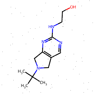 CC(C)(C)N1Cc2cnc(NCCO)nc2C1